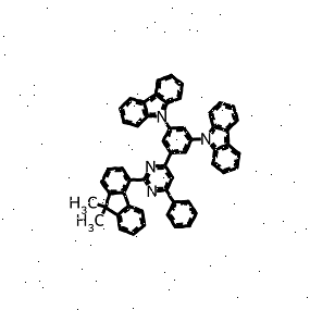 CC1(C)c2ccccc2-c2c(-c3nc(-c4ccccc4)cc(-c4cc(-n5c6ccccc6c6ccccc65)cc(-n5c6ccccc6c6ccccc65)c4)n3)cccc21